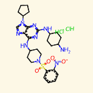 Cl.Cl.NC1CCC(Nc2nc(NC3CCN(S(=O)(=O)c4ccccc4[N+](=O)[O-])CC3)c3ncn(C4CCCC4)c3n2)CC1